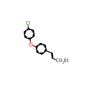 CCOC(=O)C=Cc1ccc(Oc2ccc(Cl)cc2)cc1